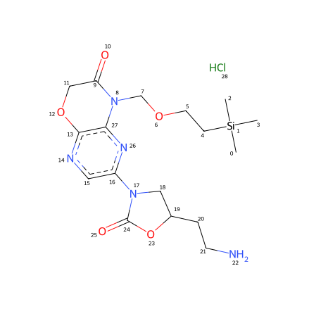 C[Si](C)(C)CCOCN1C(=O)COc2ncc(N3CC(CCN)OC3=O)nc21.Cl